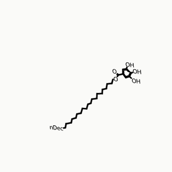 CCCCCCCCCCCCCCCCCCCCCCCCCCCCCCOC(=O)c1cc(O)c(O)c(O)c1